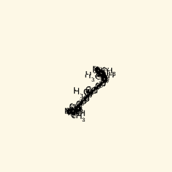 CC(=O)N(CCOCCOCCOc1ccc2[nH]c3c(C)c4ccncc4c(C)c3c2c1)CCOCOCCOc1ccc2[nH]c3c(C)c4ccncc4c(C)c3c2c1